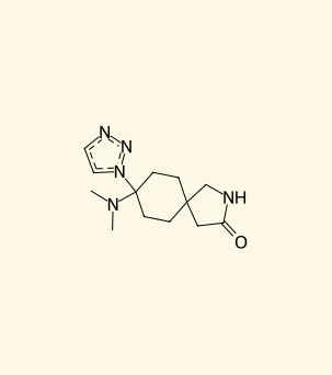 CN(C)C1(n2ccnn2)CCC2(CC1)CNC(=O)C2